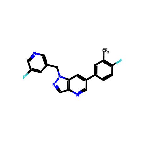 Fc1cncc(Cn2ncc3ncc(-c4ccc(F)c(C(F)(F)F)c4)cc32)c1